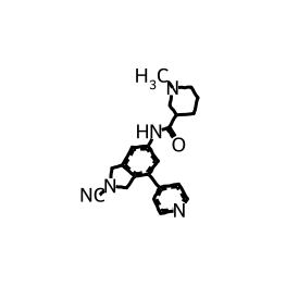 CN1CCCC(C(=O)Nc2cc3c(c(-c4ccncc4)c2)CN(C#N)C3)C1